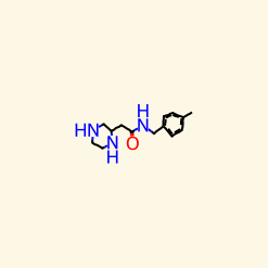 Cc1ccc(CNC(=O)CC2CNCCN2)cc1